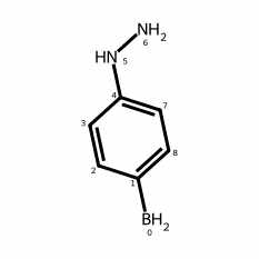 Bc1ccc(NN)cc1